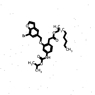 CCCCCC.CCOC(=O)Cc1ccc(NC(=O)OC(C)C)cc1OCc1cc(Br)c2occc2c1